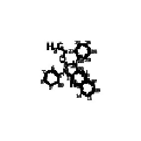 CCOC1N(C2=CC=CCC2)c2nc3ccccc3nc2N1c1ccccc1